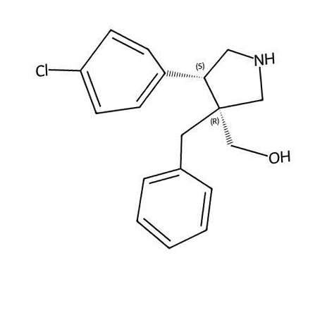 OC[C@@]1(Cc2ccccc2)CNC[C@H]1c1ccc(Cl)cc1